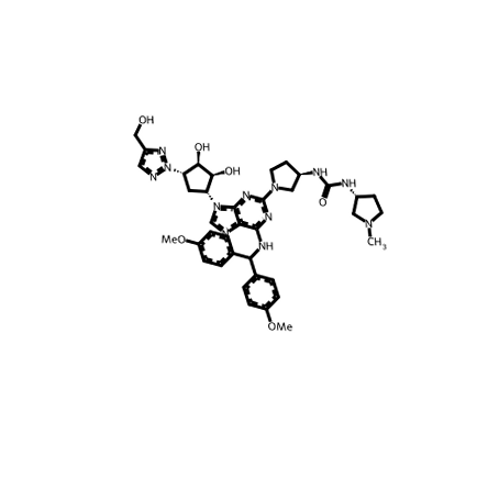 COc1ccc(C(Nc2nc(N3CC[C@@H](NC(=O)N[C@@H]4CCN(C)C4)C3)nc3c2ncn3[C@@H]2C[C@H](n3ncc(CO)n3)[C@@H](O)[C@H]2O)c2ccc(OC)cc2)cc1